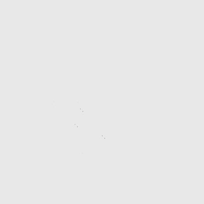 C/C(=N\Nc1nc(-c2ccccc2O)cs1)c1ccc2c(c1)CCC2